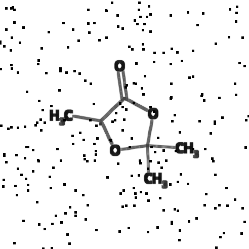 C[C]1OC(C)(C)OC1=O